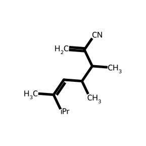 C=C(C#N)C(C)C(C)/C=C(/C)C(C)C